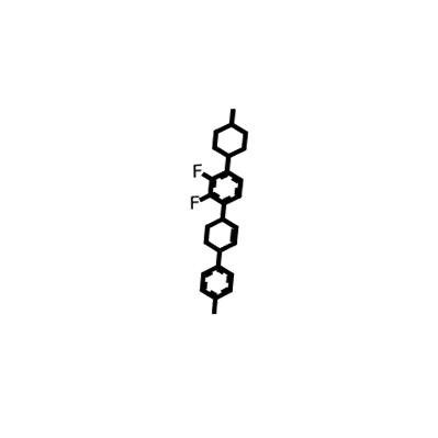 Cc1ccc(C2C=CC(c3ccc(C4CCC(C)CC4)c(F)c3F)CC2)cc1